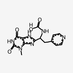 Cn1c(=O)[nH]c(=O)c2[nH]c(C(Cc3ccncc3)NC(=O)O)nc21